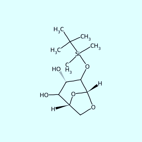 CC(C)(C)[Si](C)(C)OC1[C@@H]2OC[C@@H](O2)C(O)[C@@H]1O